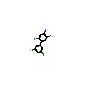 Cc1cc(-c2cc(F)cc(F)c2)c(F)cc1I